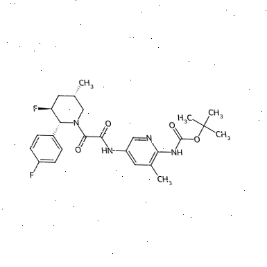 Cc1cc(NC(=O)C(=O)N2C[C@@H](C)C[C@H](F)[C@H]2c2ccc(F)cc2)cnc1NC(=O)OC(C)(C)C